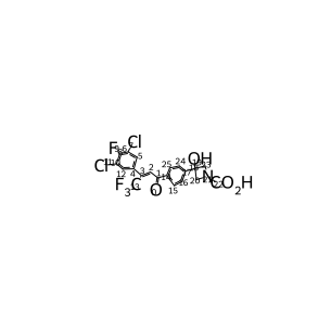 O=C(C=C(c1cc(Cl)c(F)c(Cl)c1)C(F)(F)F)c1ccc(C2(O)CN(C(=O)O)C2)cc1